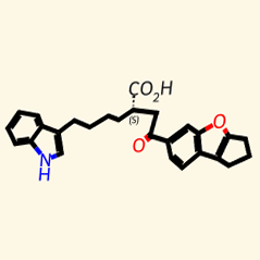 O=C(C[C@H](CCCCc1c[nH]c2ccccc12)C(=O)O)c1ccc2c3c(oc2c1)CCC3